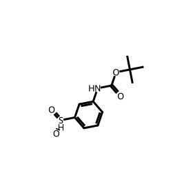 CC(C)(C)OC(=O)Nc1cccc([SH](=O)=O)c1